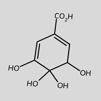 O=C(O)C1=CC(O)C(O)(O)C(O)=C1